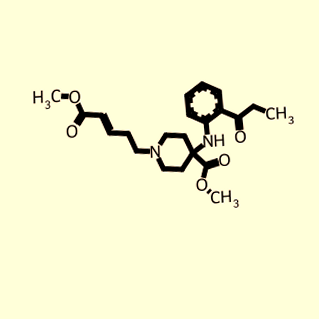 CCC(=O)c1ccccc1NC1(C(=O)OC)CCN(CCC=CC(=O)OC)CC1